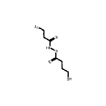 CC(=O)CCC(=O)NOC(=O)CCCS